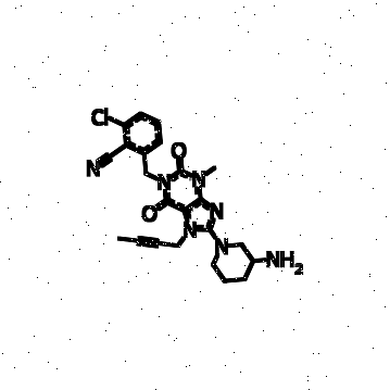 CC#CCn1c(N2CCCC(N)C2)nc2c1c(=O)n(Cc1cccc(Cl)c1C#N)c(=O)n2C